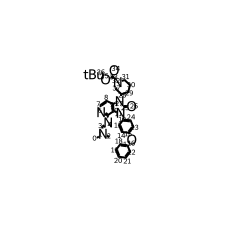 CN(C)C=Nc1nccc2c1n(-c1ccc(Oc3ccccc3)cc1)c(=O)n2C1CCCN(C(=O)OC(C)(C)C)C1